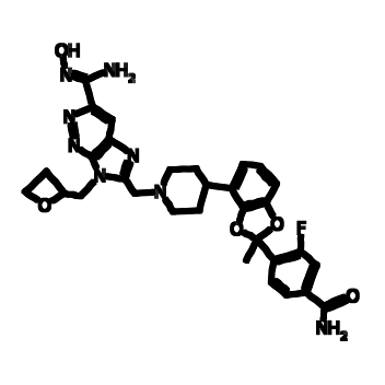 CC1(c2ccc(C(N)=O)cc2F)Oc2cccc(C3CCN(Cc4nc5cc(C(N)=NO)nnc5n4CC4CCO4)CC3)c2O1